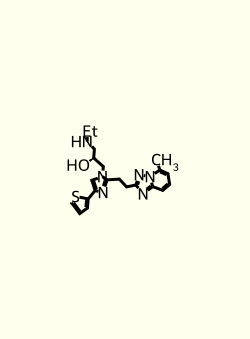 CCNC[C@H](O)Cn1cc(-c2cccs2)nc1CCc1nc2cccc(C)n2n1